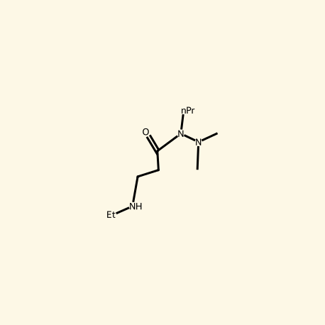 CCCN(C(=O)CCNCC)N(C)C